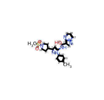 Cc1ccc(-n2nc(C3CCN(S(C)(=O)=O)CC3)cc2NC(O)c2cnn3cccnc23)cc1